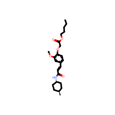 CCCCCOC(=O)COc1ccc(/C=C/C(=O)N[C@H]2CC[C@H](C)CC2)cc1OC